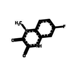 Cn1c(=O)c(=O)[nH]c2cc(F)ccc21